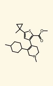 COC(=O)c1sc(C2(C)CC2)cc1C1=C(C2CCC(C)CC2)CN(C)CC1